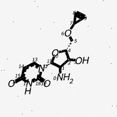 NC1C(O)[C@@H](COC2C#C2)O[C@H]1n1ccc(=O)[nH]c1=O